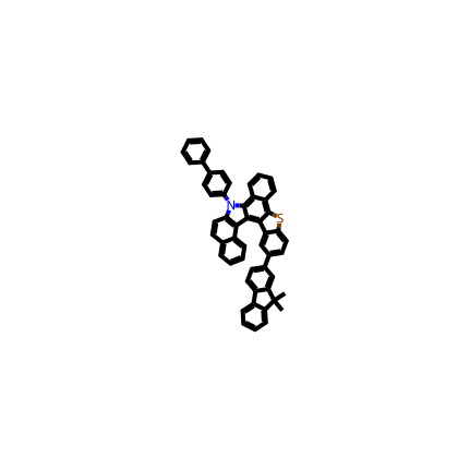 CC1(C)c2ccccc2-c2ccc(-c3ccc4sc5c6ccccc6c6c(c5c4c3)c3c4ccccc4ccc3n6-c3ccc(-c4ccccc4)cc3)cc21